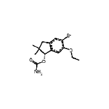 CCOc1cc2c(cc1Br)CC(C)(C)[C@H]2OC(N)=O